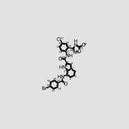 O=C(Nc1cccc2cc(C(=O)Nc3ccc(Cl)cc3-c3noc(=O)[nH]3)[nH]c12)c1ccc(Br)cc1